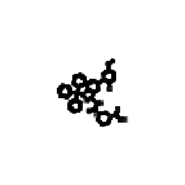 COc1ccc(Cl)c(-c2ccc3c(c2)c(NC(=O)[C@@H]2CCCN(C(=O)O)C2)nn3C(c2ccccc2)(c2ccccc2)c2ccccc2)c1